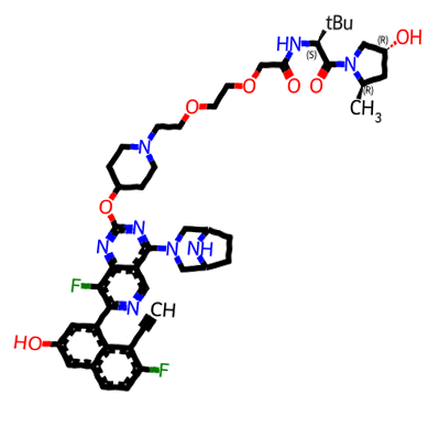 C#Cc1c(F)ccc2cc(O)cc(-c3ncc4c(N5CC6CCC(C5)N6)nc(OC5CCN(CCOCCOCC(=O)N[C@H](C(=O)N6C[C@H](O)C[C@H]6C)C(C)(C)C)CC5)nc4c3F)c12